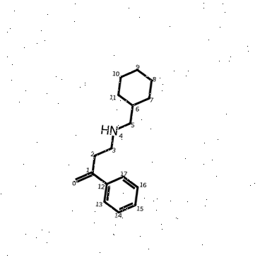 C=C(CCNCC1CCCCC1)c1ccccc1